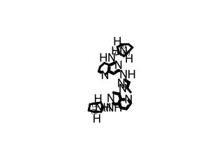 Cc1cc(Nc2cc3c(c(N[C@@H]4C[C@H]5CC[C@@H](C4)N5)n2)CCC=N3)nn1-c1cnc(N[C@@H]2C[C@H]3CC[C@@H](C2)N3)c2cccnc12